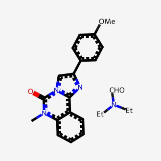 CCN(C=O)CC.COc1ccc(-c2cn3c(=O)n(C)c4ccccc4c3n2)cc1